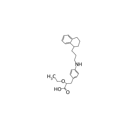 CCOC(Cc1ccc(NCCCC2CCCc3ccccc32)cc1)C(=O)O